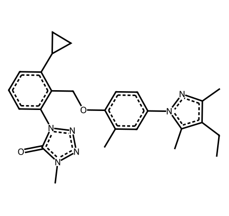 CCc1c(C)nn(-c2ccc(OCc3c(C4CC4)cccc3-n3nnn(C)c3=O)c(C)c2)c1C